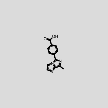 O=C(O)c1ccc(-c2nc(I)c3sccn23)cc1